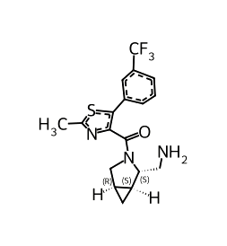 Cc1nc(C(=O)N2C[C@@H]3C[C@@H]3[C@H]2CN)c(-c2cccc(C(F)(F)F)c2)s1